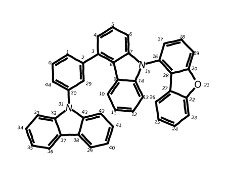 c1cc(-c2cccc3c2c2ccccc2n3-c2cccc3oc4ccccc4c23)cc(-n2c3ccccc3c3ccccc32)c1